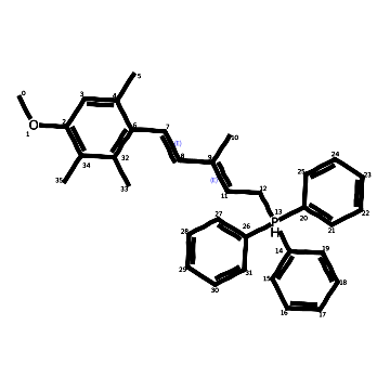 COc1cc(C)c(/C=C/C(C)=C/C[PH](c2ccccc2)(c2ccccc2)c2ccccc2)c(C)c1C